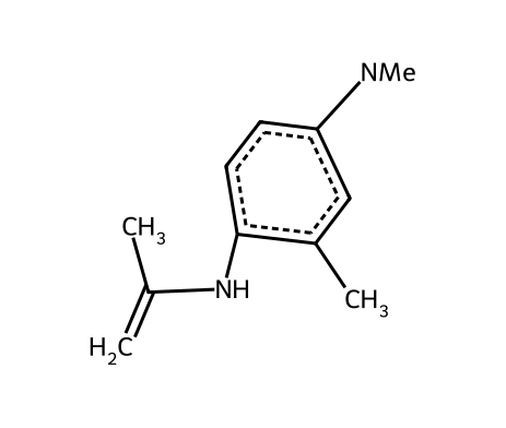 C=C(C)Nc1ccc(NC)cc1C